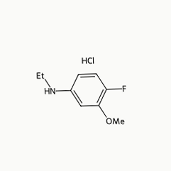 CCNc1ccc(F)c(OC)c1.Cl